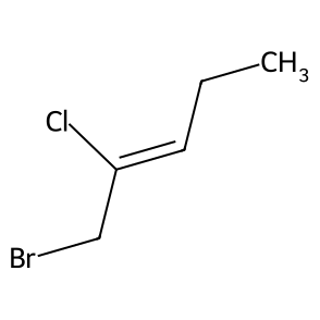 CC/C=C(\Cl)CBr